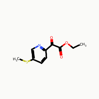 CCOC(=O)C(=O)c1ccc(SC)cn1